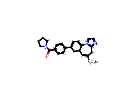 CCOC(=O)C1=CC2CC(c3ccc(C(=O)N4CCCC4)cc3)=CC=C2n2ccnc2C1